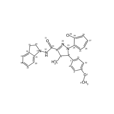 COc1ccc(C2C(C)C(C(=O)NN3CCc4ccccc43)=NN2c2ccccc2Cl)cc1